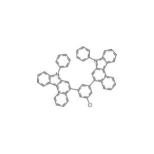 Clc1cc(-c2cc3c(c4ccccc24)c2ccccc2n3-c2ccccc2)cc(-c2cc3c(c4ccccc24)c2ccccc2n3-c2ccccc2)c1